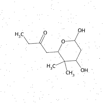 CCC(=O)CC1OC(O)CC(O)C1(C)C